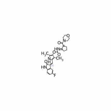 Cc1[nH]c(/C=C2\C(=O)Nc3ccc(F)cc32)c(C)c1OC(=O)N[C@@H]1CCC[C@@H]1C(=O)N1CCOCC1